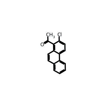 CC(=O)c1c(Cl)ccc2c1ccc1ccccc12